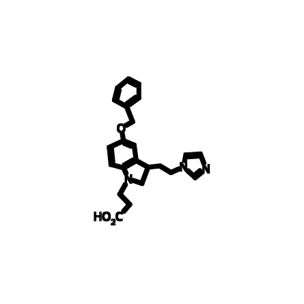 O=C(O)CCN1CC(CCn2ccnc2)c2cc(OCc3ccccc3)ccc21